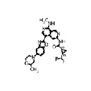 CNc1ncc(-c2nc3cc(N4CCOC(C)C4)ccc3o2)c2cc(NC(=O)[C@H]3C[C@H]3C(F)F)ncc12